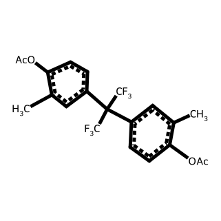 CC(=O)Oc1ccc(C(c2ccc(OC(C)=O)c(C)c2)(C(F)(F)F)C(F)(F)F)cc1C